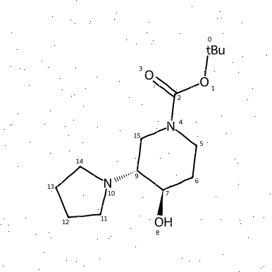 CC(C)(C)OC(=O)N1CC[C@@H](O)[C@H](N2CCCC2)C1